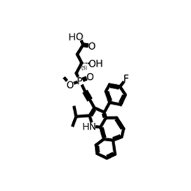 COP(=O)(C#CC1=C(C(C)C)NC2=c3ccccc3=CC=CC2=C1c1ccc(F)cc1)C[C@@H](O)CC(=O)O